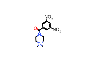 C[N+]1(C)CCN(C(=O)c2cc([N+](=O)[O-])cc([N+](=O)[O-])c2)CC1